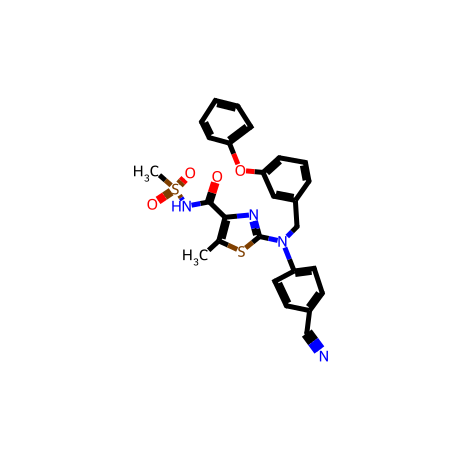 Cc1sc(N(Cc2cccc(Oc3ccccc3)c2)c2ccc(C#N)cc2)nc1C(=O)NS(C)(=O)=O